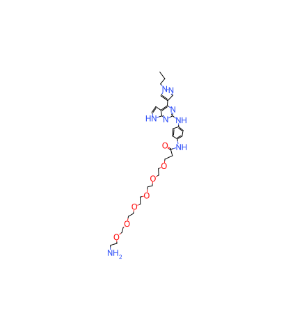 CCCn1cc(-c2nc(Nc3ccc(NC(=O)CCOCCOCCOCCOCCOCCOCCN)cc3)nc3[nH]ccc23)cn1